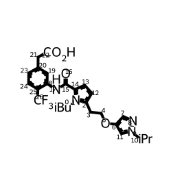 CC[C@H](C)n1c(CCOc2cnn(C(C)C)c2)ccc1C(=O)Nc1cc(CC(=O)O)ccc1C(F)(F)F